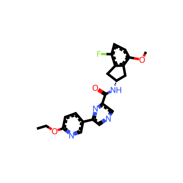 CCOc1ccc(-c2cncc(C(=O)N[C@@H]3Cc4c(F)ccc(OC)c4C3)n2)cn1